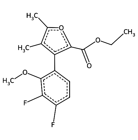 CCOC(=O)c1oc(C)c(C)c1-c1ccc(F)c(F)c1OC